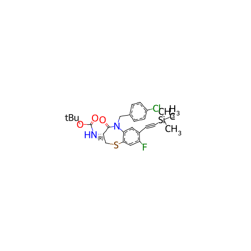 CC(C)(C)OC(=O)N[C@H]1CSc2cc(F)c(C#C[Si](C)(C)C)cc2N(Cc2ccc(Cl)cc2)C1=O